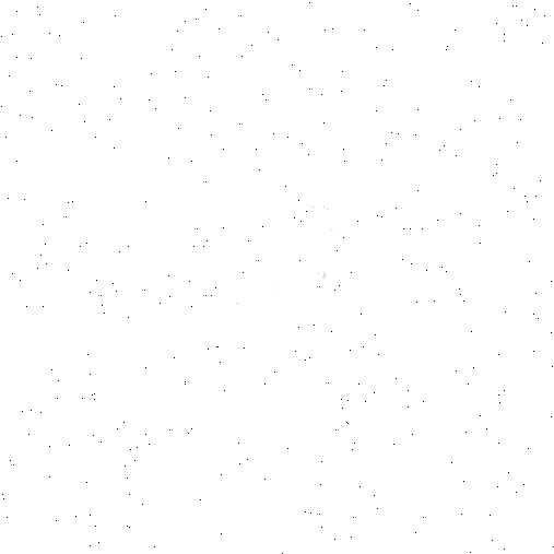 CC1CC2(CC(c3cn(C)nn3)N1)OCC(F)(F)c1cc(Cl)sc12